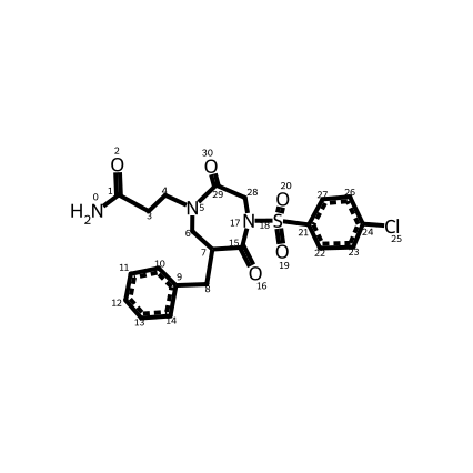 NC(=O)CCN1CC(Cc2ccccc2)C(=O)N(S(=O)(=O)c2ccc(Cl)cc2)CC1=O